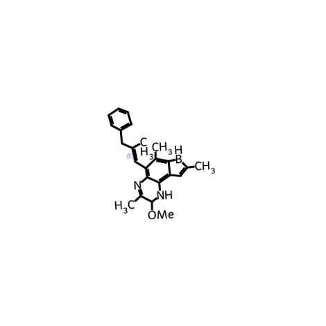 COC1Nc2c3c(c(C)c(/C=C(\C)Cc4ccccc4)c2N=C1C)BC(C)=C3